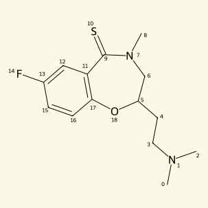 CN(C)CCC1CN(C)C(=S)c2cc(F)ccc2O1